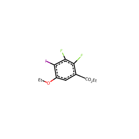 CCOC(=O)c1cc(OCC)c(I)c(F)c1F